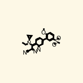 CCN(c1c(C#N)nnc2cc(-c3cc(S(C)(=O)=O)ccc3OC)ccc12)C1CC1